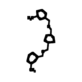 Cc1cccc(COCc2ccc(COCc3cccc(C)c3)cc2)c1